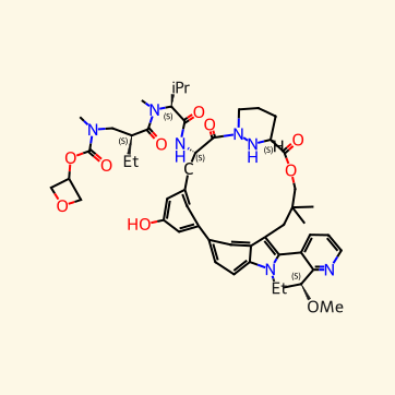 CC[C@@H](CN(C)C(=O)OC1COC1)C(=O)N(C)[C@H](C(=O)N[C@H]1Cc2cc(O)cc(c2)-c2ccc3c(c2)c(c(-c2cccnc2[C@H](C)OC)n3CC)CC(C)(C)COC(=O)[C@@H]2CCCN(N2)C1=O)C(C)C